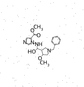 COC(=O)c1cncn1NC(O)C1CN(Cc2ccccc2)CC1OC